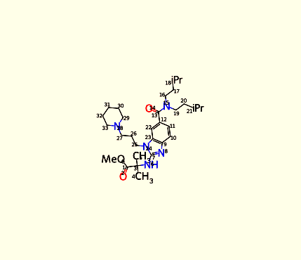 COC(=O)C(C)(C)Nc1nc2ccc(C(=O)N(CCC(C)C)CCC(C)C)cc2n1CCCN1CCCCC1